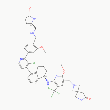 COc1cc(-c2nccc(-c3cccc4c3CCC[C@H]4Nc3nc(OC)c(CN4CC5(CNC(=O)C5)C4)cc3C(F)(F)F)c2Cl)ccc1CNC[C@H]1CCC(=O)N1